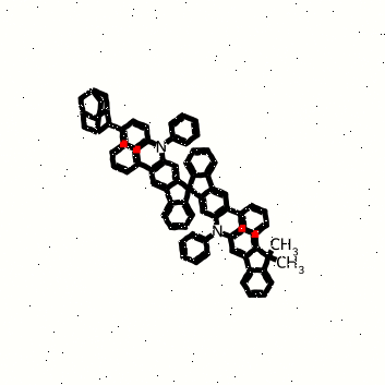 CC1(C)c2ccccc2-c2cc(N(c3ccccc3)c3cc4c(cc3-c3ccccc3)-c3ccccc3C43c4ccccc4-c4cc(-c5ccccc5)c(N(c5ccccc5)c5ccc(C6C7CC8CC(C7)CC6C8)cc5)cc43)ccc21